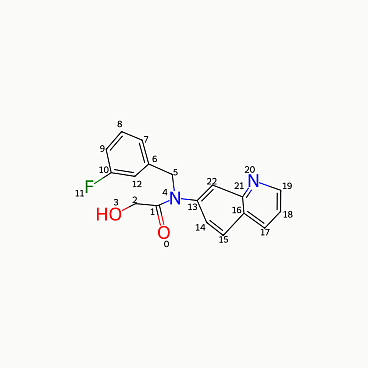 O=C(CO)N(Cc1cccc(F)c1)c1ccc2cccnc2c1